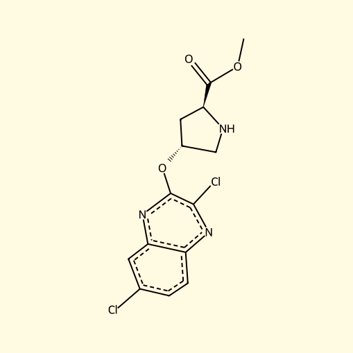 COC(=O)[C@@H]1C[C@@H](Oc2nc3cc(Cl)ccc3nc2Cl)CN1